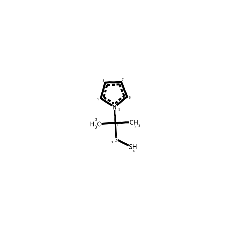 CC(C)(SS)n1cccc1